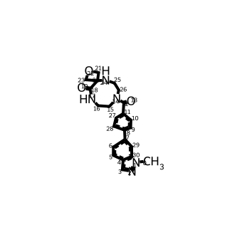 Cn1ncc2ccc(-c3ccc(C(=O)N4CCNC(=O)C5(COC5)NCC4)cc3)cc21